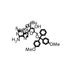 COc1ccc(C(OC[C@H]2O[C@](n3cnc4c(N)nc(F)nc43)([SiH](C)C)[C@H](OC(C)(C)C)[C@@H]2O)(c2ccccc2)c2ccc(OC)cc2)cc1